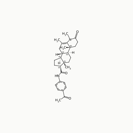 CC(=O)c1ccc(NC(=O)[C@H]2CC[C@H]3[C@@H]4CC(C)=C5N(C)C(=O)CC[C@]5(C)[C@H]4CC[C@]23C)cc1